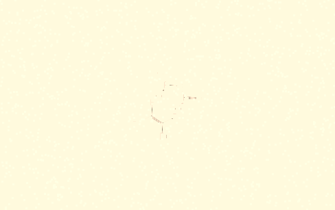 CCC(CC)=C(CC)CC.O=[PH](O)O[PH](=O)O